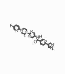 C[C@H]1CN(c2ccc(F)cn2)CCN1c1ncc(NC(=O)c2ccc(-c3cnn(C)c3)nc2)cn1